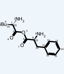 CC[C@H](C)[C@H](N)C(=O)OC(=O)[C@@H](N)Cc1ccccc1